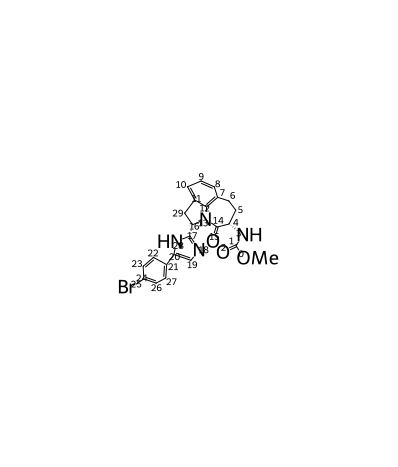 COC(=O)N[C@H]1CCc2cccc3c2N(C1=O)[C@H](c1ncc(-c2ccc(Br)cc2)[nH]1)C3